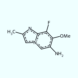 COc1c(N)cn2cc(C)nc2c1F